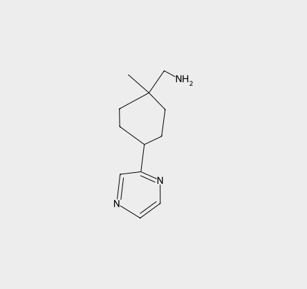 CC1(CN)CCC(c2cnccn2)CC1